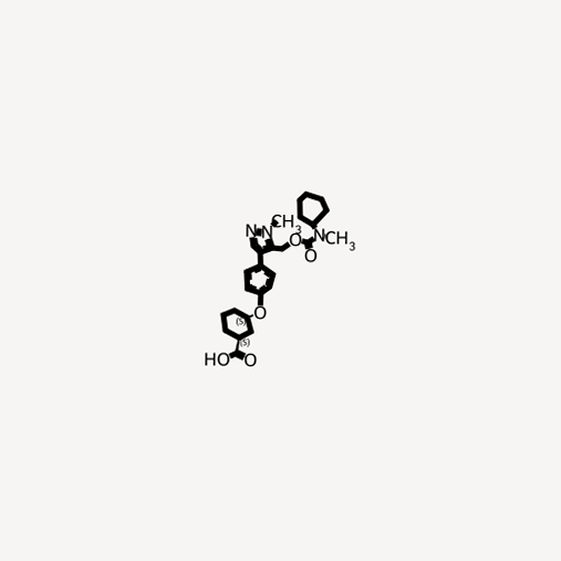 CN(C(=O)OCc1c(-c2ccc(O[C@H]3CCC[C@H](C(=O)O)C3)cc2)cnn1C)C1CCCCC1